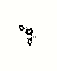 c1ccc(Oc2ccc(NC3=NCCN3)cc2)cc1